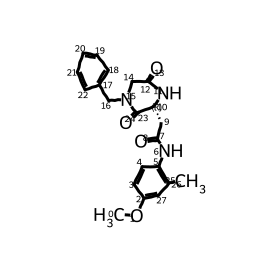 COc1ccc(NC(=O)C[C@H]2NC(=O)CN(Cc3ccccc3)C2=O)c(C)c1